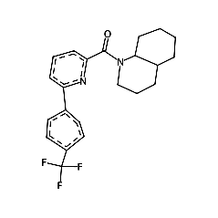 O=C(c1cccc(-c2ccc(C(F)(F)F)cc2)n1)N1CCCC2CCCCC21